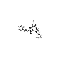 CCCN1C(=O)N2C[C@@H](Cc3ccccc3)N=C2c2[nH]c(COCc3ccccc3)nc21